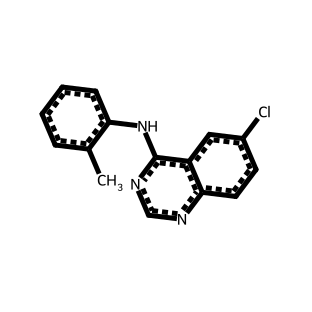 Cc1ccccc1Nc1ncnc2ccc(Cl)cc12